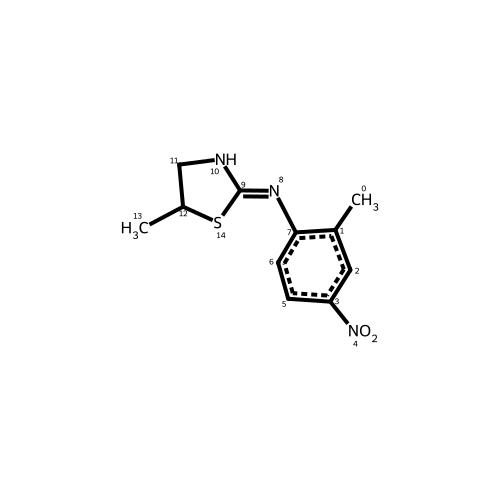 Cc1cc([N+](=O)[O-])ccc1/N=C1/NCC(C)S1